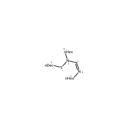 CCCCCCCCCCSN(/C=N\CCCCCC)CCCCCC